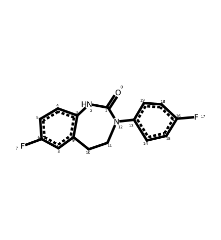 O=C1Nc2ccc(F)cc2CCN1c1ccc(F)cc1